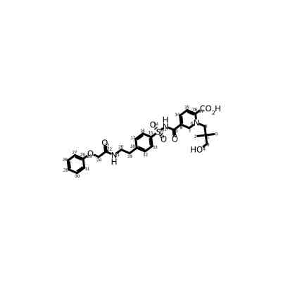 CC(C)(CO)CN1CC(C(=O)NS(=O)(=O)c2ccc(CCNC(=O)COc3ccccc3)cc2)=CC=C1C(=O)O